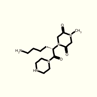 CN1CC(=O)N([C@@H](CCCCN)C(=O)N2CCNCC2)CC1=O